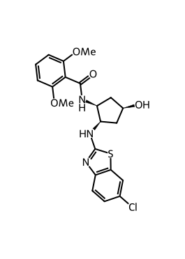 COc1cccc(OC)c1C(=O)N[C@H]1C[C@@H](O)C[C@H]1Nc1nc2ccc(Cl)cc2s1